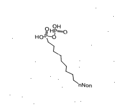 CCCCCCCCCCCCCCCCCCP(=O)(O)O[PH](=O)O